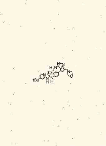 CC(C)(C)c1ccnc(NC(=O)Nc2ccc(-c3cc(CN4CCOCC4)n4ncnc(N)c34)cc2Cl)c1